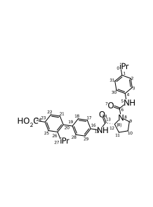 CC(C)c1ccc(NC(=O)N2CCC[C@@H]2C(=O)Nc2ccc(-c3ccc(C(=O)O)cc3C(C)C)cc2)cc1